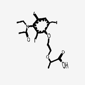 CCN(C(C)=O)c1c(I)cc(I)c(OCCOC(C)C(=O)O)c1I